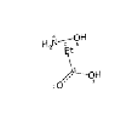 CCC(=O)O.NO